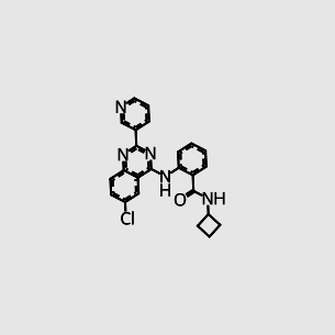 O=C(NC1CCC1)c1ccccc1Nc1nc(-c2cccnc2)nc2ccc(Cl)cc12